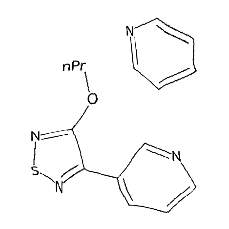 CCCOc1nsnc1-c1cccnc1.c1ccncc1